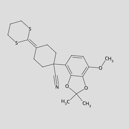 COc1ccc(C2(C#N)CCC(=C3SCCCS3)CC2)c2c1OC(C)(C)O2